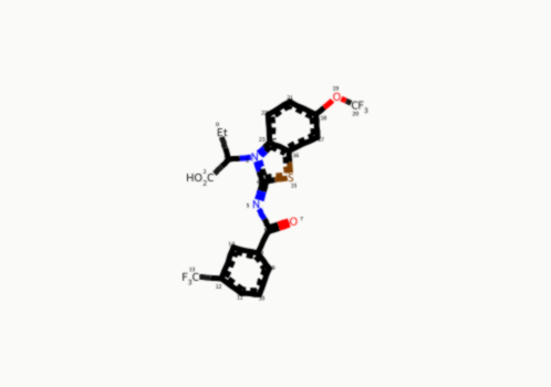 CCC(C(=O)O)n1c(=NC(=O)c2cccc(C(F)(F)F)c2)sc2cc(OC(F)(F)F)ccc21